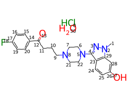 Cl.Cn1nc(N2CCN(CCCC(=O)c3ccc(F)cc3)CC2)c2ccc(O)cc21.O